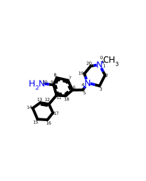 CN1CCN(Cc2ccc(N)c(C3=CCCCC3)c2)CC1